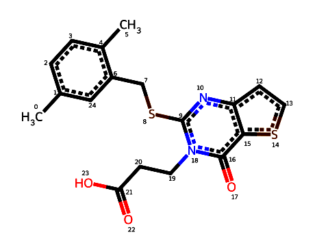 Cc1ccc(C)c(CSc2nc3ccsc3c(=O)n2CCC(=O)O)c1